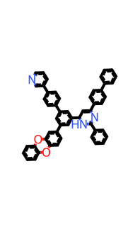 C1=C(c2ccc(-c3ccccc3)cc2)N=C(c2ccccc2)NC1c1cc(-c2ccc(-c3cccnc3)cc2)cc(-c2ccc3c(c2)Oc2ccccc2O3)c1